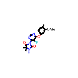 COc1cc(Oc2ncnc(N3C(=O)NC(C)(C)C3=O)c2F)ccc1C